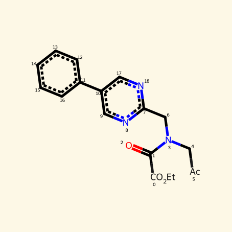 CCOC(=O)C(=O)N(CC(C)=O)Cc1ncc(-c2ccccc2)cn1